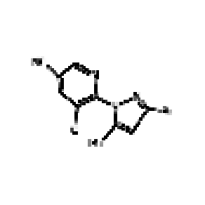 CC(C)(C)c1cc(Br)nn1-c1ncc(C#N)cc1Cl